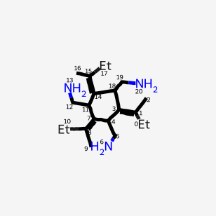 CCC(C)=C1C(CN)C(=C(C)CC)C(CN)C(=C(C)CC)C1CN